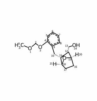 COCOc1ccccc1C[C@@H]1[C@H](CO)[C@H]2CC[C@@H]1O2